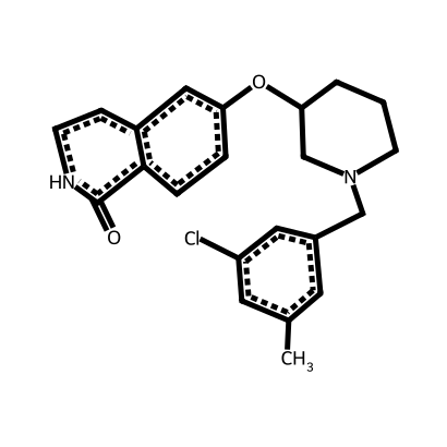 Cc1cc(Cl)cc(CN2CCCC(Oc3ccc4c(=O)[nH]ccc4c3)C2)c1